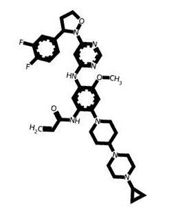 C=CC(=O)Nc1cc(Nc2cc(N3OCCC3c3ccc(F)c(F)c3)ncn2)c(OC)cc1N1CCC(N2CCN(C3CC3)CC2)CC1